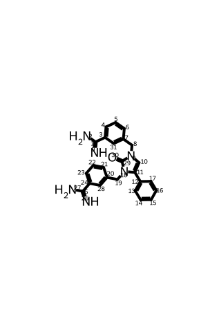 N=C(N)c1cccc(Cn2cc(-c3ccccc3)n(Cc3cccc(C(=N)N)c3)c2=O)c1